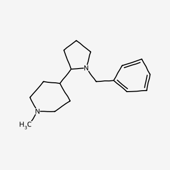 CN1CCC(C2CCCN2Cc2ccccc2)CC1